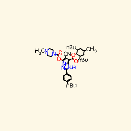 CCCCc1ccc(-c2nn3c(OC(=O)N4CCN(C)CC4)c(C#N)c(C(=O)OC4C(CCCC)CC(C)CC4CCCC)c3[nH]2)cc1